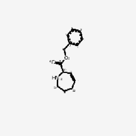 O=C(OCc1ccccc1)C1C=CCCCN1